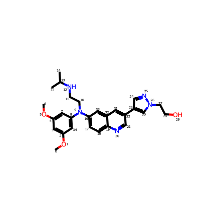 COc1cc(OC)cc(N(CCNC(C)C)c2ccc3ncc(-c4cnn(CCO)c4)cc3c2)c1